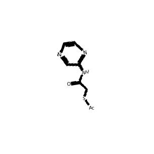 CC(=O)SCC(=O)Nc1cnccn1